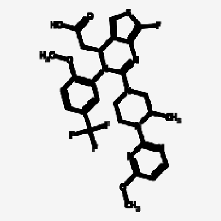 COc1ccnc(N2CCN(C3=Nc4c(csc4F)C(CC(=O)O)N3c3cc(C(F)(F)F)ccc3OC)CC2C)n1